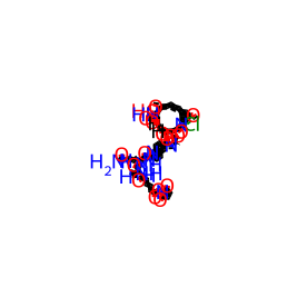 COc1cc2cc(c1Cl)N(C)C(=O)C[C@H](OC(=O)[C@H](C)N(C)C(=O)c1ccc3nc(NC(=O)[C@H](CCCNC(N)=O)NC(=O)[C@@H](NC(=O)CCCCC(=O)ON4C(=O)CCC4=O)C(C)C)ccc3c1)[C@]1(C)O[C@H]1C[C@@H]1C[C@@](O)(NC(=O)O1)[C@H](OC)/C=C/C=C(\C)C2